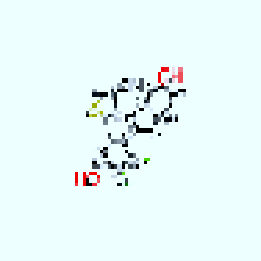 N#Cc1cscc1C1=C(c2ccc(O)c(F)c2F)Cc2ccc(O)cc21